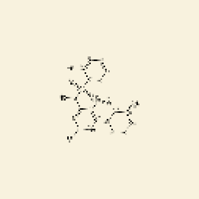 CC1N=C(C(C#N)S(=O)(=O)c2ccccc2F)C([N+](=O)[O-])=C(N2CCO[C@H](C)[C@H]2C)N1